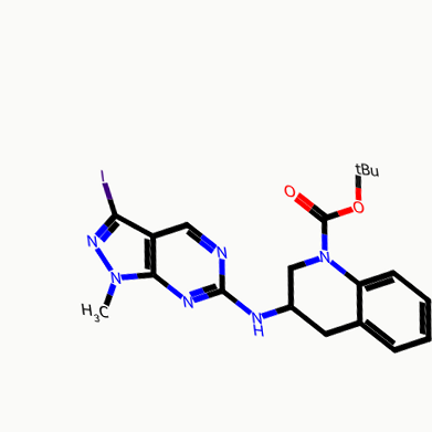 Cn1nc(I)c2cnc(NC3Cc4ccccc4N(C(=O)OC(C)(C)C)C3)nc21